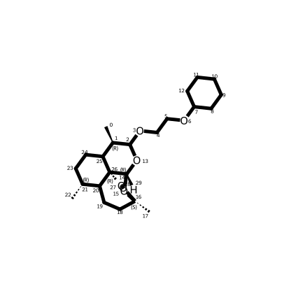 C[C@H]1C(OCCOC2CCCCC2)O[C@@H]2O[C@]3(C)CCC4[C@H](C)CCC1[C@]42OO3